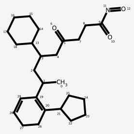 CC(CC(CC(=O)CCC(=O)N=O)C1CCCCC1)C1=C(C2CCCC2)CCC=C1